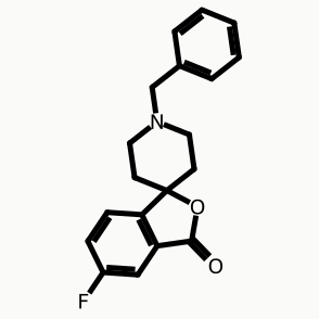 O=C1OC2(CCN(Cc3ccccc3)CC2)c2ccc(F)cc21